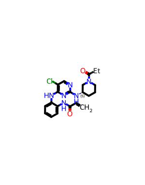 C=CC(=O)Nc1ccccc1Nc1nc(N[C@H]2CCCN(C(=O)CC)C2)ncc1Cl